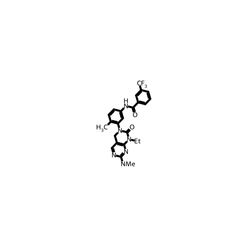 CCN1C(=O)N(c2cc(NC(=O)c3cccc(C(F)(F)F)c3)ccc2C)Cc2cnc(NC)nc21